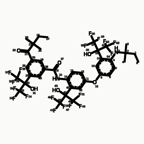 CCC(C)(C)Nc1ccc(Oc2ccc(NC(=O)c3cc(C(=O)C(C)(C)CC)cc(C(O)(C(F)(F)F)C(F)(F)F)c3)c(C(O)(C(F)(F)F)C(F)(F)F)c2)cc1C(O)(C(F)(F)F)C(F)(F)F